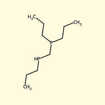 CCCPCP(CCC)CCC